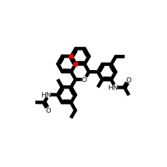 CCc1cc(NC(C)=O)c(C)c(C(OC(c2ccccc2)c2cc(CC)cc(NC(C)=O)c2C)c2ccccc2)c1